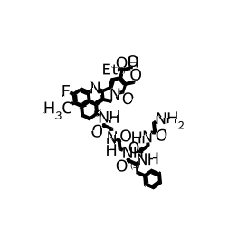 CC[C@@]1(O)C(=O)OCc2c1cc1n(c2=O)Cc2c-1nc1cc(F)c(C)c3c1c2[C@@H](NC(=O)CNC(=O)CNC(=O)[C@H](Cc1ccccc1)NC(=O)CNC(=O)CN)CC3